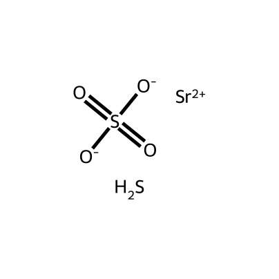 O=S(=O)([O-])[O-].S.[Sr+2]